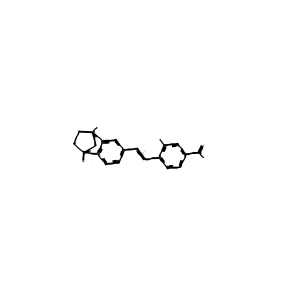 CC12CCC(C)(C1)c1cc(/C=C/c3ccc(C(=O)O)cc3F)ccc12